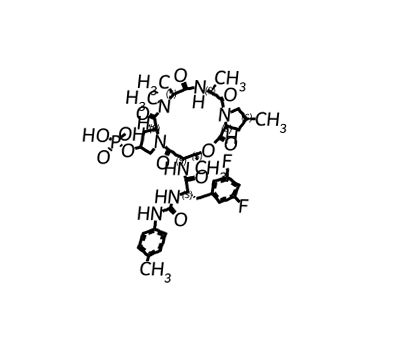 Cc1ccc(NC(=O)N[C@@H](Cc2cc(F)cc(F)c2)C(=O)N[C@@H]2C(=O)N3CC(OP(=O)(O)O)C[C@H]3C(=O)N(C)[C@@H](C)C(=O)N[C@@H](C)C(=O)N3C[C@@H](C)C[C@H]3C(=O)O[C@H]2C)cc1